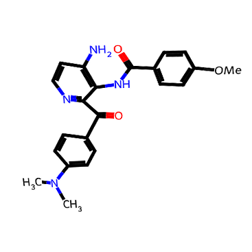 COc1ccc(C(=O)Nc2c(N)ccnc2C(=O)c2ccc(N(C)C)cc2)cc1